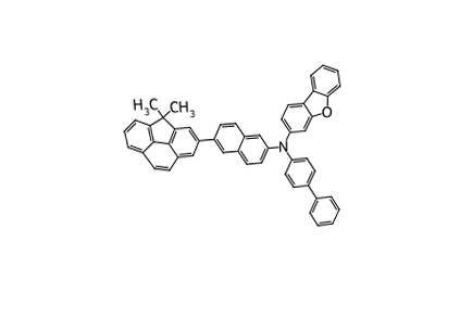 CC1(C)c2cccc3ccc4cc(-c5ccc6cc(N(c7ccc(-c8ccccc8)cc7)c7ccc8c(c7)oc7ccccc78)ccc6c5)cc1c4c23